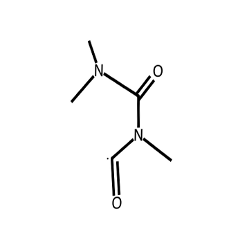 CN(C)C(=O)N(C)[C]=O